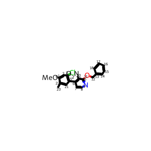 COc1cc(Cl)c(-c2ccnc(OCc3ccccc3)c2[N+](=O)[O-])cc1C